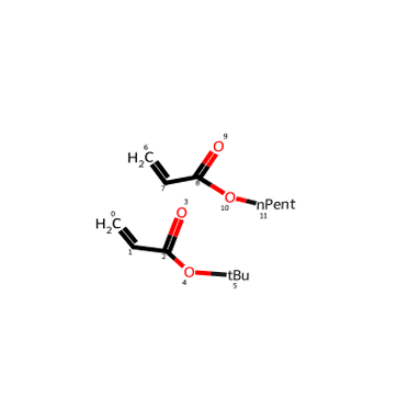 C=CC(=O)OC(C)(C)C.C=CC(=O)OCCCCC